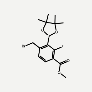 COC(=O)c1ccc(CBr)c(B2OC(C)(C)C(C)(C)O2)c1F